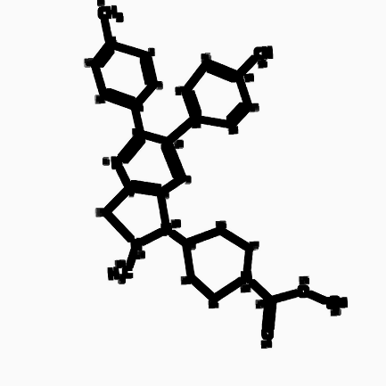 Cc1ccc(-c2nc3c(cc2-c2ccc(C#N)cc2)N(C2CCN(C(=O)OC(C)(C)C)CC2)N(C)C3)cc1